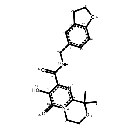 CC1(C)OCCn2c1nc(C(=O)NCc1ccc3c(c1)CCO3)c(O)c2=O